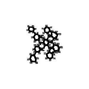 N#Cc1c(N(c2ccc(-c3ccccc3)cc2)c2ccc(-c3ccccc3)cc2)c(C#N)c2c3c1-n1c4ccccc4c4cccc(c41)B3c1cccc3c4ccccc4n-2c13